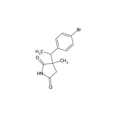 CC(c1ccc(Br)cc1)C1(C)CC(=O)NC1=O